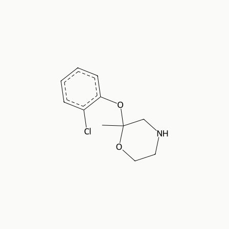 CC1(Oc2ccccc2Cl)CNCCO1